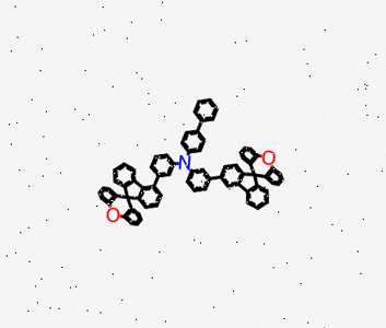 c1ccc(-c2ccc(N(c3cccc(-c4ccc5c(c4)-c4ccccc4C54c5ccccc5Oc5ccccc54)c3)c3cccc(-c4cccc5c4-c4ccccc4C54c5ccccc5Oc5ccccc54)c3)cc2)cc1